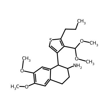 CCCc1scc(C2c3cc(OC)c(OC)cc3CCC2N)c1C(OC)OC